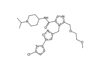 COCCOCc1ncc(C(=O)NC2CCN(C(C)C)CC2)n1Cc1cc(-c2ccc(Cl)s2)on1